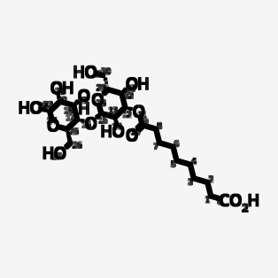 O=C(O)CCCCCCCCC(=O)O[C@@H]1[C@@H](O)[C@@H](O[C@H]2[C@H](O)[C@@H](O)[C@H](O)O[C@@H]2CO)O[C@H](CO)[C@H]1O